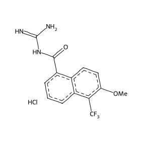 COc1ccc2c(C(=O)NC(=N)N)cccc2c1C(F)(F)F.Cl